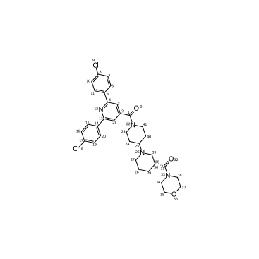 O=C(c1cc(-c2ccc(Cl)cc2)nc(-c2ccc(Cl)cc2)c1)N1CCC(N2CCC[C@@H](C(=O)N3CCOCC3)C2)CC1